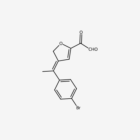 C/C(=C1/C=C(C(=O)C=O)OC1)c1ccc(Br)cc1